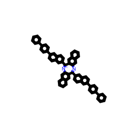 c1ccc(-c2ccc(-c3ccc4cc(/C5=N/c6cc7ccccc7cc6/C(c6ccc7cc(-c8ccc(-c9ccccc9)cc8)ccc7c6)=N\c6cc7ccccc7cc65)ccc4c3)cc2)cc1